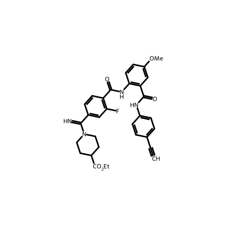 C#Cc1ccc(NC(=O)c2cc(OC)ccc2NC(=O)c2ccc(C(=N)N3CCC(C(=O)OCC)CC3)cc2F)cc1